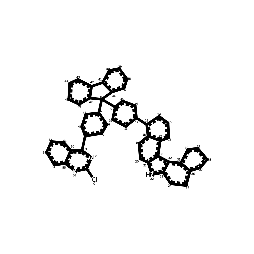 Clc1nc(-c2ccc(C3(c4ccc(-c5cccc6c5ccc5[nH]c7ccc8ccccc8c7c56)cc4)c4ccccc4-c4ccccc43)cc2)c2ccccc2n1